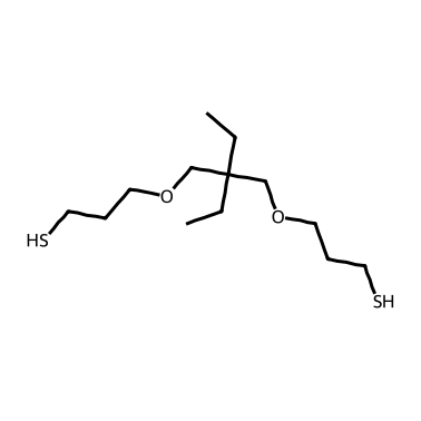 CCC(CC)(COCCCS)COCCCS